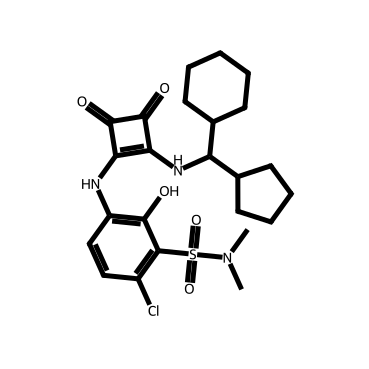 CN(C)S(=O)(=O)c1c(Cl)ccc(Nc2c(NC(C3CCCCC3)C3CCCC3)c(=O)c2=O)c1O